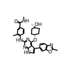 CNC(=O)c1ccc(Nc2nc(O[C@H]3CC[C@](C)(O)CC3)c3c(-c4ccc5nc(C)oc5c4)c[nH]c3n2)c(C)c1